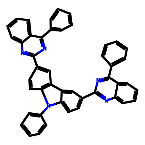 c1ccc(-c2nc(-c3ccc4c(c3)c3cc(-c5nc(-c6ccccc6)c6ccccc6n5)ccc3n4-c3ccccc3)nc3ccccc23)cc1